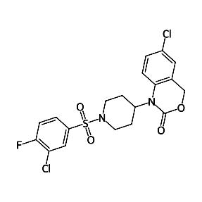 O=C1OCc2cc(Cl)ccc2N1C1CCN(S(=O)(=O)c2ccc(F)c(Cl)c2)CC1